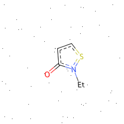 CCn1sc[c]c1=O